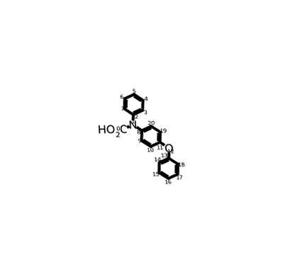 O=C(O)N(c1ccccc1)c1ccc(Oc2ccccc2)cc1